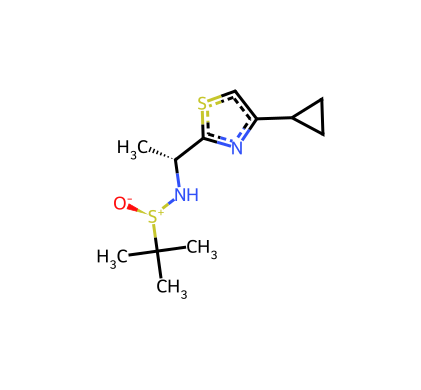 C[C@@H](N[S@+]([O-])C(C)(C)C)c1nc(C2CC2)cs1